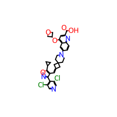 O=C(O)c1cc(OC2COC2)c2cc(N3CCC4(CC3)CC(=Cc3c(-c5c(Cl)cncc5Cl)noc3C3CC3)C4)ccc2n1